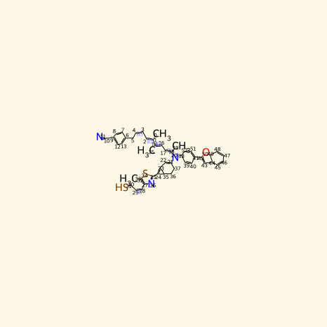 CC(=C\C=C/Cc1ccc(C#N)cc1)/C(C)=C/C=C(\C)N(C1=CC2=C(c3nc(/C=C\CS)c(C)s3)C2CC1)C1C=CC(C2=CC3C=CC=CC3O2)=CC1